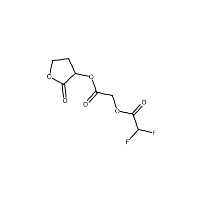 O=C(COC(=O)C(F)F)OC1CCOC1=O